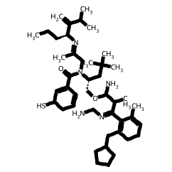 C=C(C(C)C)[C@H](CCC)/N=C(\C)CN(C(=O)C1=CC(S)CC=C1)[C@@H](COC(N)C(C)/C(=N\CN)C1=C(CC2CCCC2)CCC=C1C)CC(C)(C)C